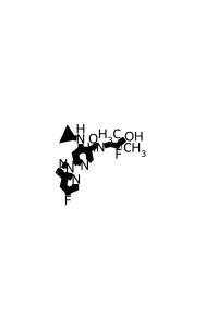 CC(C)(O)[C@H](F)CNC(=O)c1cnc(-n2ncc3cc(F)cnc32)cc1NC1CC1